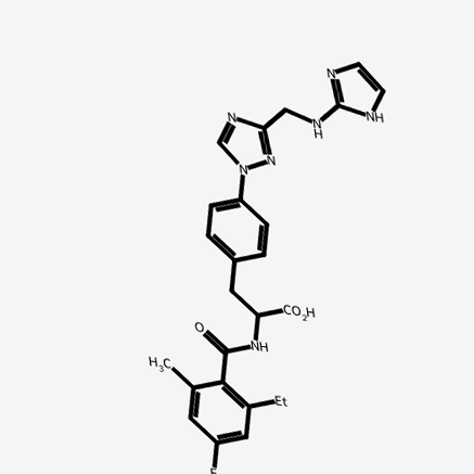 CCc1cc(F)cc(C)c1C(=O)NC(Cc1ccc(-n2cnc(CNc3ncc[nH]3)n2)cc1)C(=O)O